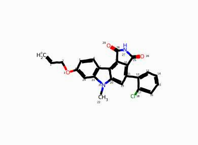 C=CCOc1ccc2c3c4c(c(-c5ccccc5Cl)cc3n(C)c2c1)C(=O)NC4=O